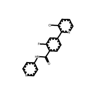 O=C(Nc1ccncc1)c1ccc(-c2ncccc2Cl)cc1F